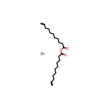 C=CCCCCCCCCC(=O)OC(=O)CCCCCCCCC=C.[Zn]